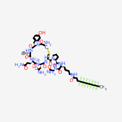 CCC(C)[C@@H]1NC(=O)[C@H](Cc2ccc(O)cc2)NC(=O)[C@@H](N)CSSC[C@@H](C(=O)N2CCC[C@H]2C(=O)N[C@@H](CCCCNC(=O)CCC(F)(F)C(F)(F)C(F)(F)C(F)(F)C(F)(F)C(F)(F)C(F)(F)C(F)(F)F)C(=O)NCC(N)=O)NC(=O)[C@H](CC(N)=O)NC(=O)[C@H](CCC(N)=O)NC1=O